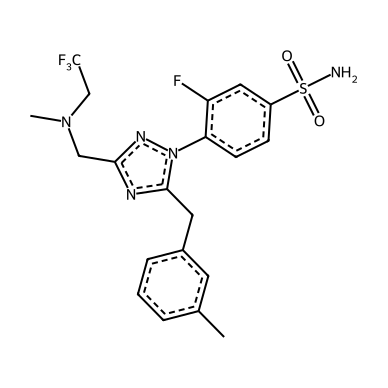 Cc1cccc(Cc2nc(CN(C)CC(F)(F)F)nn2-c2ccc(S(N)(=O)=O)cc2F)c1